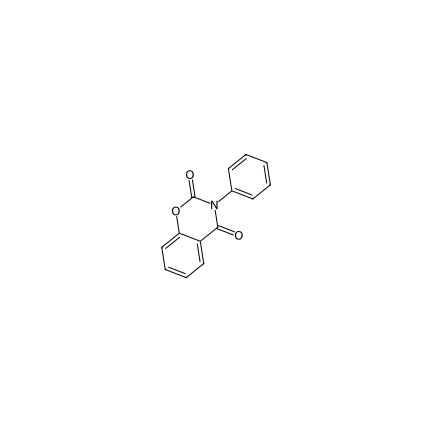 O=c1oc2ccccc2c(=O)n1-c1ccccc1